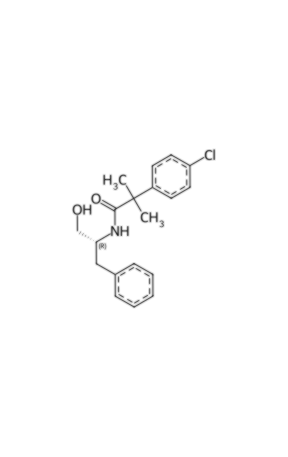 CC(C)(C(=O)N[C@@H](CO)Cc1ccccc1)c1ccc(Cl)cc1